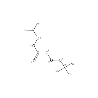 CC(C)OOC(=O)OOOC(C)(C)C